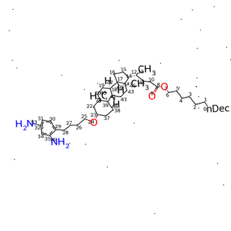 CCCCCCCCCCCCCCCCOC(=O)CCC(C)[C@H]1CC[C@H]2[C@@H]3CCC4CC(OCCCCc5ccc(N)cc5N)CC[C@]4(C)[C@H]3CC[C@]12C